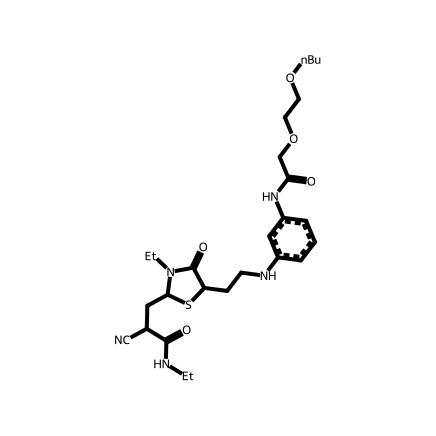 CCCCOCCOCC(=O)Nc1cccc(NCCC2SC(CC(C#N)C(=O)NCC)N(CC)C2=O)c1